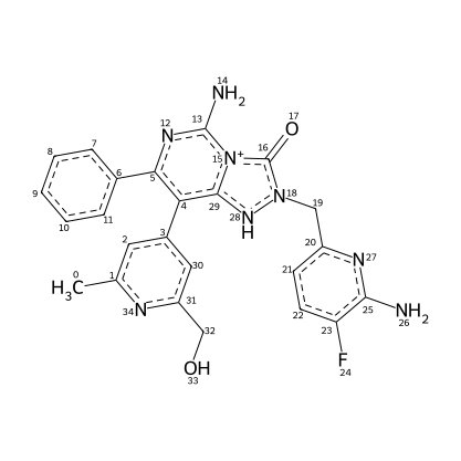 Cc1cc(-c2c(-c3ccccc3)nc(N)[n+]3c(=O)n(Cc4ccc(F)c(N)n4)[nH]c23)cc(CO)n1